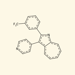 FC(F)(F)c1cccc(-c2nc3cccccc-3c2-c2ccncc2)c1